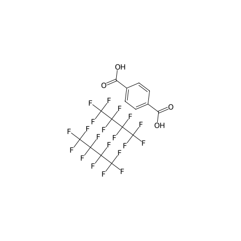 FC(F)(F)C(F)(F)C(F)(F)C(F)(F)F.FC(F)(F)C(F)(F)C(F)(F)C(F)(F)F.O=C(O)c1ccc(C(=O)O)cc1